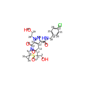 CC(C)(CO)S(=O)(=O)C1(CN2CCc3c(C(=O)NCc4ccc(Cl)cc4)nn(CCO)c3C2=O)CC1